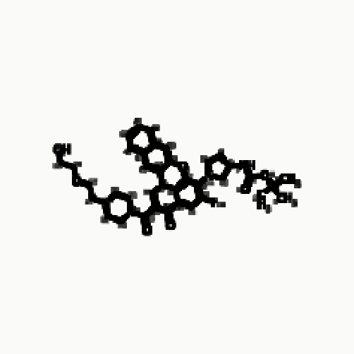 CC(C)(C)OC(=O)NC1CCN(c2c(F)cc3c(=O)c(C(=O)N4CCN(CCOCCO)CC4)cn4c3c2Oc2cc3ccccc3cc2-4)C1